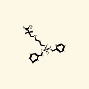 CC(C)(COCCCOP(=O)(OCc1ccccc1)OCc1ccccc1)C(=O)O